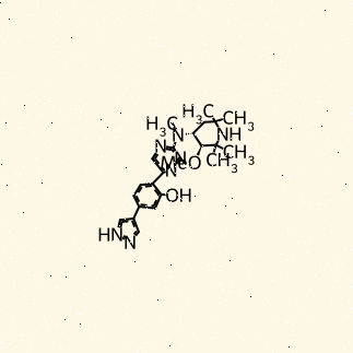 CO[C@H]1[C@H](N(C)c2ncc(-c3ccc(-c4cn[nH]c4)cc3O)nn2)CC(C)(C)NC1(C)C